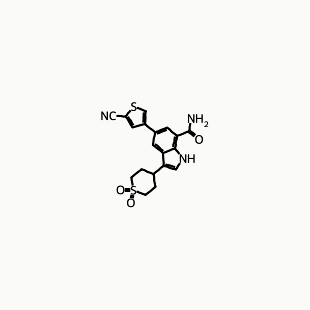 N#Cc1cc(-c2cc(C(N)=O)c3[nH]cc(C4CCS(=O)(=O)CC4)c3c2)cs1